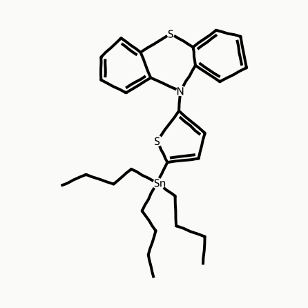 CCC[CH2][Sn]([CH2]CCC)([CH2]CCC)[c]1ccc(N2c3ccccc3Sc3ccccc32)s1